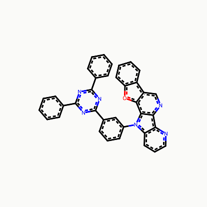 c1ccc(-c2nc(-c3ccccc3)nc(-c3cccc(-n4c5cccnc5c5ncc6c7ccccc7oc6c54)c3)n2)cc1